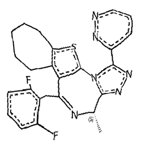 C[C@@H]1N=C(c2c(F)cccc2F)c2c(sc3c2CCCCC3)-n2c(-c3cccnn3)nnc21